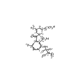 CCN(CC)S(=O)(=O)Nc1ccc(F)c(C(=O)C2(C(=O)O)C=C(C)C=C(C(=O)O)C2)c1F